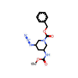 CC(C)(C)OC(=O)NC1CC(N=[N+]=[N-])CN(C(=O)OCc2ccccc2)C1